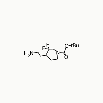 CC(C)(C)OC(=O)N1CCC(CCN)C(F)(F)C1